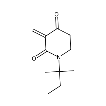 C=C1C(=O)CCN(C(C)(C)CC)C1=O